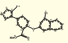 CCc1cc(Oc2ccc(-c3c[nH]nc3F)cc2C(=O)OC)cc2ccccc12